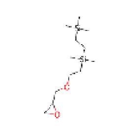 C[Si](C)(C)CC[Si](C)(C)CCOCC1CO1